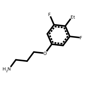 CCc1c(F)cc(OCCCN)cc1F